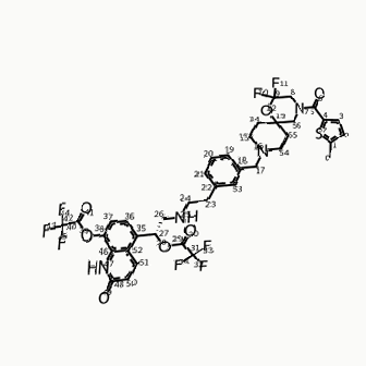 Cc1ccc(C(=O)N2CC(F)(F)OC3(CCN(Cc4cccc(CCNC[C@H](OC(=O)C(F)(F)F)c5ccc(OC(=O)C(F)(F)F)c6[nH]c(=O)ccc56)c4)CC3)C2)s1